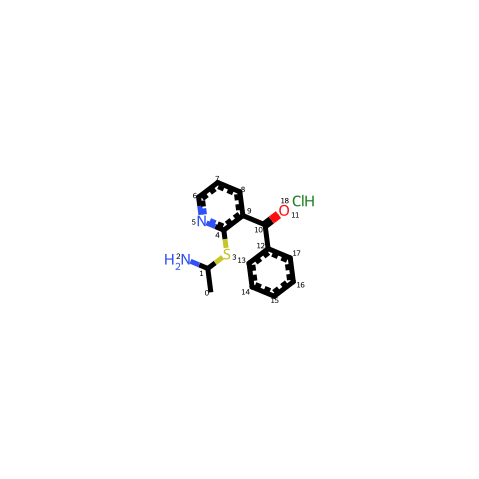 CC(N)Sc1ncccc1C(=O)c1ccccc1.Cl